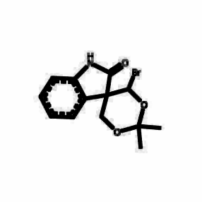 CC1(C)OCC2(C(=O)Nc3ccccc32)C(Br)O1